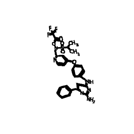 CC(C)S(=O)(=O)N(Cc1cc(Oc2ccc(Nc3cc(-c4ccccc4)nc(N)n3)cc2)ccn1)OC(=O)C(F)(F)F